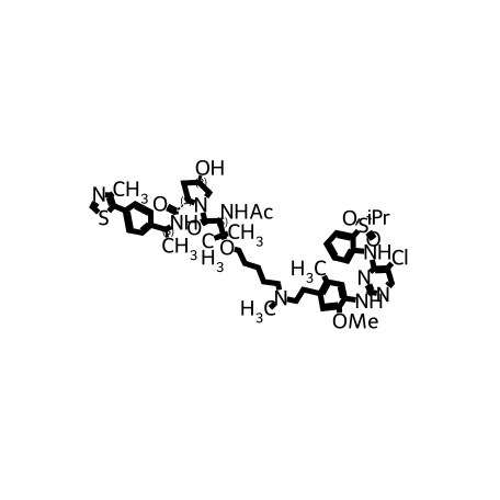 COc1cc(CCN(C)CCCCCOC(C)(C)[C@H](NC(C)=O)C(=O)N2C[C@H](O)C[C@H]2C(=O)N[C@@H](C)c2ccc(-c3scnc3C)cc2)c(C)cc1Nc1ncc(Cl)c(Nc2ccccc2S(=O)(=O)C(C)C)n1